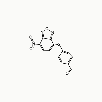 O=Cc1ccc(Sc2ccc([N+](=O)[O-])c3nonc23)cc1